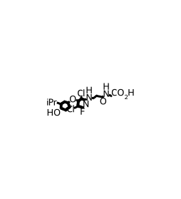 CC(C)c1cc(Oc2c(Cl)c(F)nc(NCCC(=O)NCC(=O)O)c2Cl)ccc1O